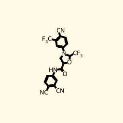 N#Cc1ccc(NC(=O)C2CN(c3ccc(C#N)c(C(F)(F)F)c3)C(C(F)(F)F)O2)cc1C#N